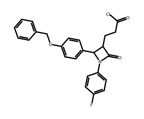 O=C(Cl)CCC1C(=O)N(c2ccc(F)cc2)C1c1ccc(OCc2ccccc2)cc1